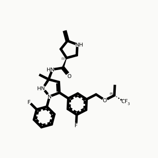 C=C1C[C@H](C(=O)NC2(C)C=C(c3cc(F)cc(CO[C@H](C)C(F)(F)F)c3)N(c3ccccc3F)N2)CN1